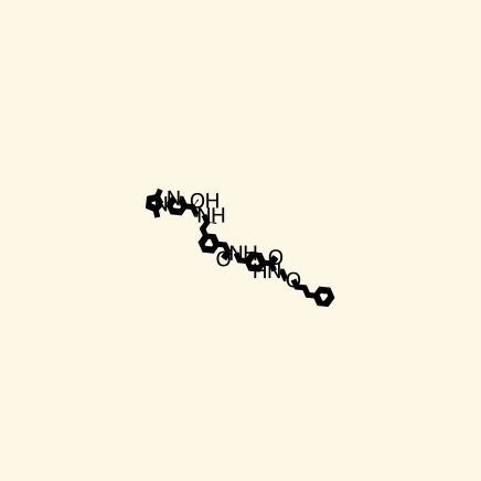 Cc1ccc(C)n1-c1ccc([C@H](O)CN[C@H](C)Cc2cccc(CC(=O)NCc3ccc(C(=O)NCCOCCCc4ccccc4)cc3)c2)cn1